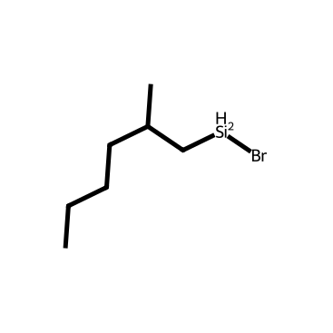 CCCCC(C)C[SiH2]Br